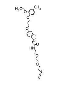 CCOc1cc(C)ccc1OCCCOc1ccc2c(c1)CC[C@H]2CC(=O)NCCOCCOCCN=[N+]=[N-]